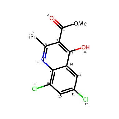 COC(=O)c1c(C(C)C)nc2c(Cl)cc(Cl)cc2c1O